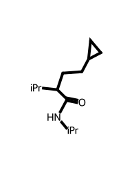 CC(C)NC(=O)C(CCC1CC1)C(C)C